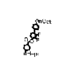 CCCCCCCCOc1ccc(-c2ccc(OC(=O)C3CCC(CCCCCCC)CC3)c(F)c2F)cc1